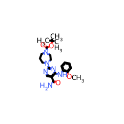 COc1ccccc1Nc1nc(N2CCCN(C(=O)OC(C)(C)C)CC2)ncc1C(N)=O